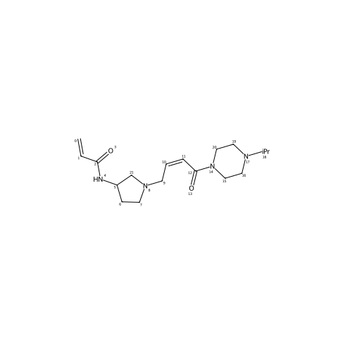 C=CC(=O)NC1CCN(C/C=C\C(=O)N2CCN(C(C)C)CC2)C1